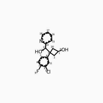 OC1CC(c2ccc(F)c(Cl)c2)(C(O)c2ccccn2)C1